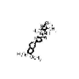 COc1cc2c(cc1OC)CN(c1ccc(S(=O)(=O)Nc3c(C)nn(C)c3C)cn1)CC2